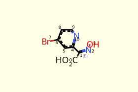 O=C(O)/C(=N/O)c1cc(Br)ccn1